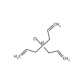 C=CC[PH](Cl)(CC=C)CC=C